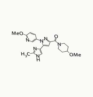 COc1ccc(-n2nc(C(=O)N3CCC(OC)CC3)cc2-c2c[nH]c(C)n2)cn1